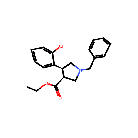 CCOC(=O)[C@@H]1CN(Cc2ccccc2)C[C@@H]1c1ccccc1O